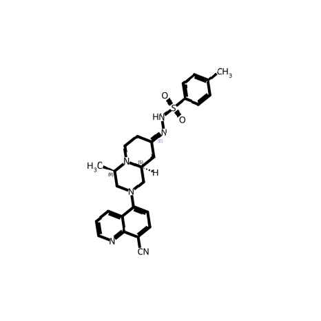 Cc1ccc(S(=O)(=O)N/N=C2\CCN3[C@@H](C2)CN(c2ccc(C#N)c4ncccc24)C[C@H]3C)cc1